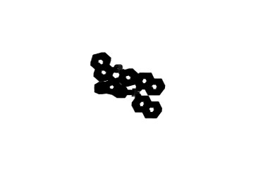 c1ccc2c(c1)Oc1c(ccc3ccccc13)C21c2ccccc2-c2ccc(N(c3ccc4ccccc4c3)c3cccc4ccccc34)cc21